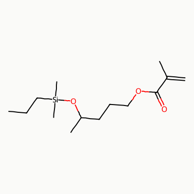 C=C(C)C(=O)OCCCC(C)O[Si](C)(C)CCC